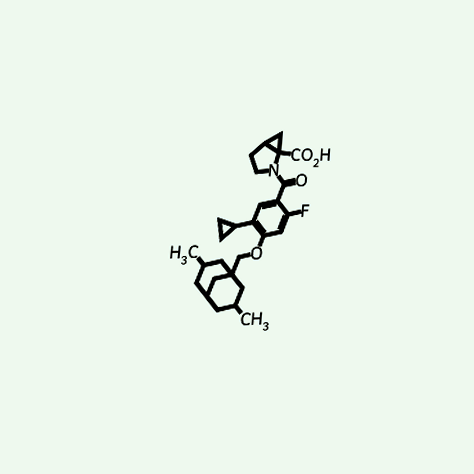 CC1CC2CC(C)CC(COc3cc(F)c(C(=O)N4CCC5CC54C(=O)O)cc3C3CC3)(C1)C2